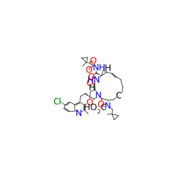 Cc1nc2ccc(Cl)cc2c2c1O[C@]1(CC2)C[C@H]2C(=O)N[C@]3(C(=O)NS(=O)(=O)C4(C)CC4)C[C@H]3/C=C\CCCCC[C@H](N(CC3(C)CC3)C(=O)O)C(=O)N2C1